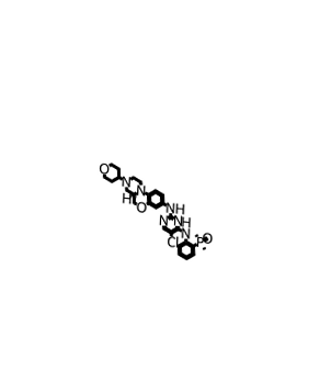 CP(C)(=O)c1ccccc1Nc1nc(Nc2ccc3c(c2)OC[C@H]2CN(C4CCOCC4)CCN32)ncc1Cl